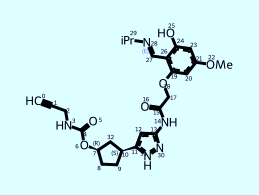 C#CCNC(=O)O[C@@H]1CC[C@H](c2cc(NC(=O)COc3cc(OC)cc(O)c3/C=N/C(C)C)n[nH]2)C1